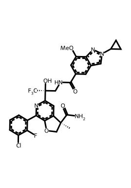 COc1cc(C(=O)NC[C@](O)(c2cc3c(c(-c4cccc(Cl)c4F)n2)OC[C@]3(C)C(N)=O)C(F)(F)F)cc2cn(C3CC3)nc12